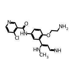 CN/C(=C\C=N)c1cc(NC(=O)c2cnccc2Cl)ccc1OCCN